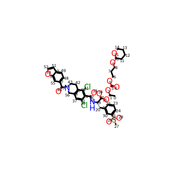 CC(OC(=O)OCCCOC1CCCCO1)OC(=O)[C@H](Cc1cccc(S(C)(=O)=O)c1)NC(=O)c1c(Cl)cc2c(c1Cl)CCN(C(=O)c1ccc3ccoc3c1)C2